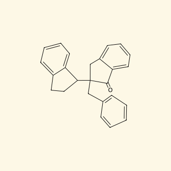 O=C1c2ccccc2CC1(Cc1ccccc1)C1CCc2ccccc21